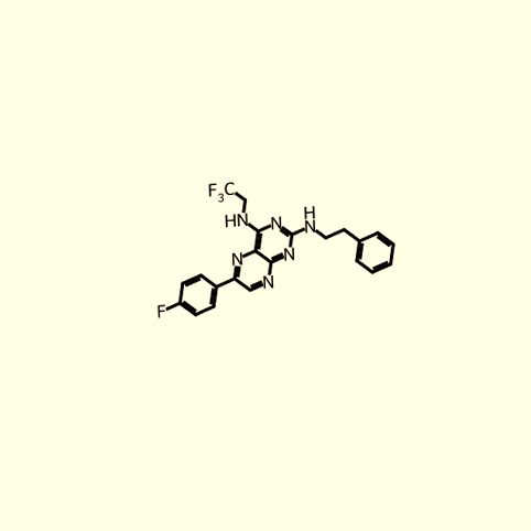 Fc1ccc(-c2cnc3nc(NCCc4ccccc4)nc(NCC(F)(F)F)c3n2)cc1